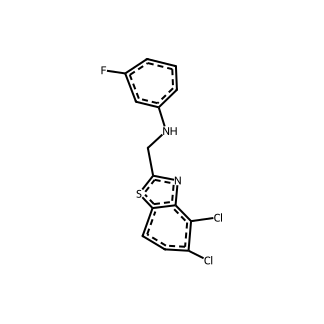 Fc1cccc(NCc2nc3c(Cl)c(Cl)ccc3s2)c1